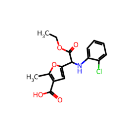 CCOC(=O)C(Nc1ccccc1Cl)c1cc(C(=O)O)c(C)o1